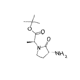 C[C@@H](C(=O)OC(C)(C)C)N1CC[C@@H](N)C1=O